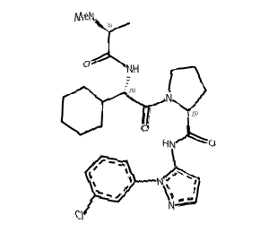 CN[C@@H](C)C(=O)N[C@H](C(=O)N1CCC[C@H]1C(=O)Nc1ccnn1-c1cccc(Cl)c1)C1CCCCC1